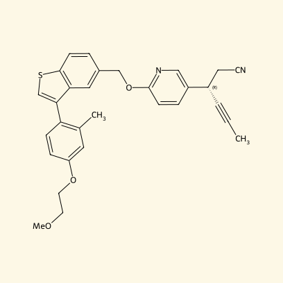 CC#C[C@@H](CC#N)c1ccc(OCc2ccc3scc(-c4ccc(OCCOC)cc4C)c3c2)nc1